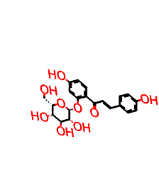 O=C(/C=C/c1ccc(O)cc1)c1ccc(O)cc1O[C@H]1O[C@@H](CO)[C@@H](O)[C@H](O)[C@H]1O